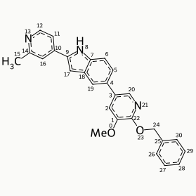 COc1cc(-c2ccc3[nH]c(-c4ccnc(C)c4)cc3c2)cnc1OCc1ccccc1